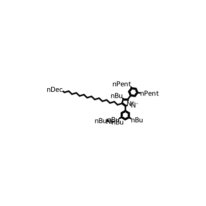 CCCCCCCCCCCCCCCCCCCCCCCCCC1=C(c2cc(CCCC)cc(CCCC)c2)[N+](=[N-])C(c2cc(CCCCC)cc(CCCCC)c2)=C1CCCC.CCC[CH2][Ni][CH2]CCC